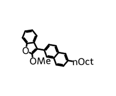 CCCCCCCCc1ccc2cc(-c3c(OC)oc4ccccc34)ccc2c1